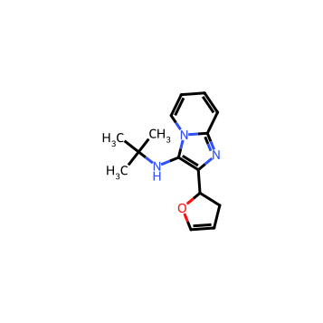 CC(C)(C)Nc1c(C2CC=CO2)nc2ccccn12